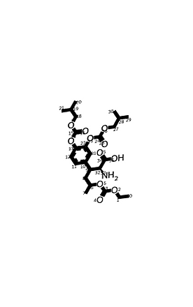 CCOC(=O)OC(C)CC(c1ccc(OC(=O)OCC(C)C)c(OC(=O)OCC(C)C)c1)[C@H](N)C(=O)O